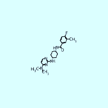 Cc1cc(C(=O)N[C@H]2CC[C@@H](Nc3nccc(N(C)C)n3)CC2)ccc1F